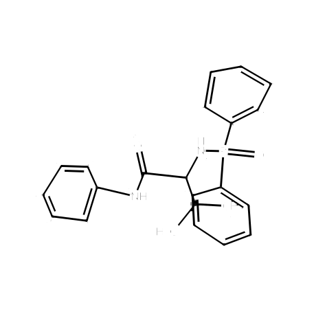 CC(C)C(NP(=O)(c1ccccc1)c1ccccc1)C(=O)Nc1ccccc1